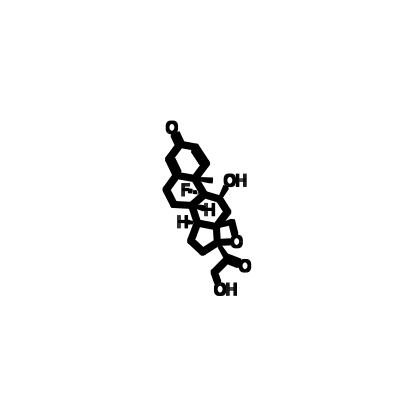 C[C@]12C=CC(=O)C=C1CC[C@H]1[C@@H]3CC[C@@]4(C(=O)CO)OC[C@]34C[C@H](O)[C@@]12F